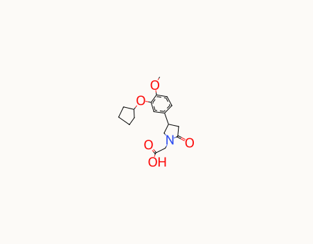 COc1ccc(C2CC(=O)N(CC(=O)O)C2)cc1OC1CCCC1